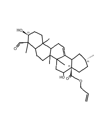 C=CCOC(=O)[C@]12CC[C@@H](C)CC1C1=CCC3C4(C)CC[C@H](O)C(C)(C=O)C4CCC3(C)C1(C)CC2O